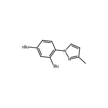 CCCCc1ccc(-n2ccc(C)n2)c(C(C)CC)c1